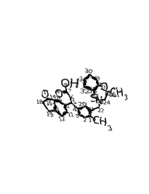 Cc1ccc(C(CC(=O)O)c2ccc3c(c2)C(=O)CC3)cc1CN1C[C@@H](C)Oc2ccccc2S1